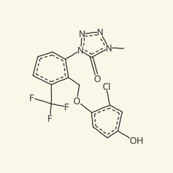 Cn1nnn(-c2cccc(C(F)(F)F)c2COc2ccc(O)cc2Cl)c1=O